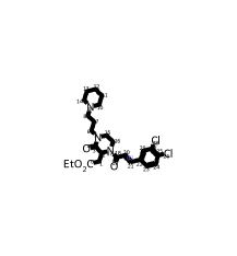 CCOC(=O)CC1C(=O)N(CCCN2CCCCC2)CCN1C(=O)/C=C/c1ccc(Cl)c(Cl)c1